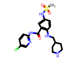 CS(=O)(=O)Nc1ccc(NCC2CCNCC2)c(C(=O)Nc2ccc(Cl)cn2)c1